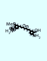 COc1cc(/C=C/C(=O)CC(=O)/C=C/c2ccc(N)c(CO)c2)ccc1OS(N)(=O)=O